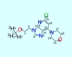 [2H]C([2H])([2H])OCCn1cnc2c(N3CCOCC3)cc(Cl)nc21